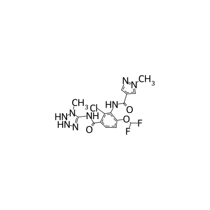 CN1NNN=C1NC(=O)c1ccc(OC(F)F)c(NC(=O)c2cnn(C)c2)c1Cl